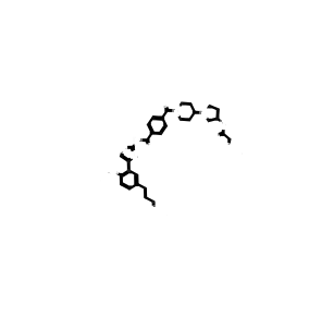 CCCCc1ccc(OC)c(-c2csc(NC(=O)c3ccc(C(=O)N4CCC(N5CCC(NC(=O)CC)C5)CC4)cc3)n2)c1